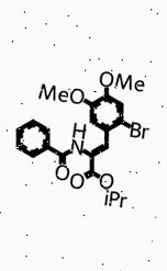 COc1cc(Br)c(C=C(NC(=O)c2ccccc2)C(=O)OC(C)C)cc1OC